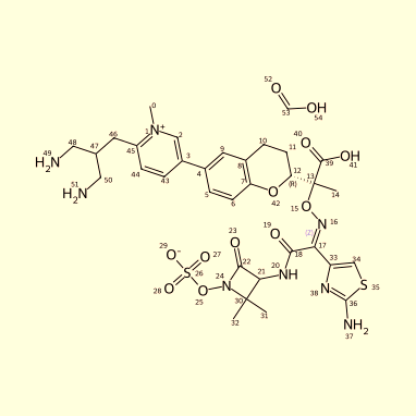 C[n+]1cc(-c2ccc3c(c2)CC[C@H](C(C)(O/N=C(\C(=O)NC2C(=O)N(OS(=O)(=O)[O-])C2(C)C)c2csc(N)n2)C(=O)O)O3)ccc1CC(CN)CN.O=CO